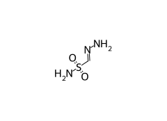 NN=CS(N)(=O)=O